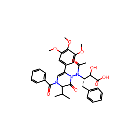 COc1cc(C2=CN(C(=O)c3ccccc3)C(C(C)C)C(=O)N2N(C(C)=O)[C@@H](Cc2ccccc2)C(O)C(=O)O)cc(OC)c1OC